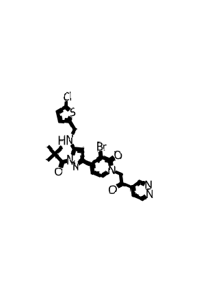 CC(C)(C)C(=O)n1nc(-c2ccn(CC(=O)c3ccnnc3)c(=O)c2Br)cc1NCc1ccc(Cl)s1